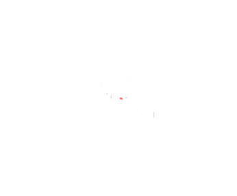 CS(=O)(=O)N1C2CCC1CC(C(=O)O)C2